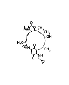 CO[C@H]1/C=C\C=C(/C)C(=O)NC2=CC(=O)C(NCC3CC3)=C(C[C@@H](C)CC[C@H](O)[C@@H](C)/C=C(\C)[C@@H]1OC(N)=O)C2=O